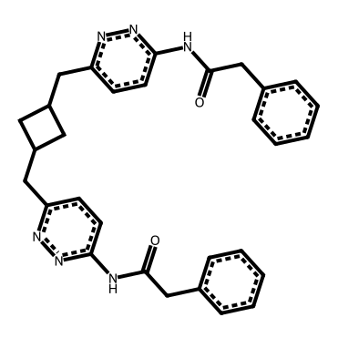 O=C(Cc1ccccc1)Nc1ccc(CC2CC(Cc3ccc(NC(=O)Cc4ccccc4)nn3)C2)nn1